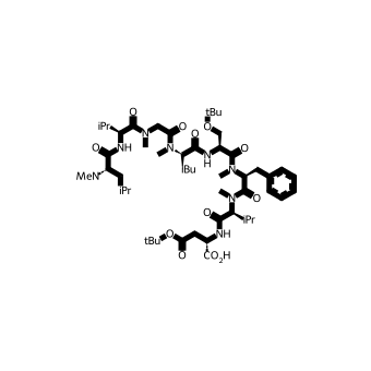 CC[C@H](C)[C@@H](C(=O)N[C@@H](COC(C)(C)C)C(=O)N(C)[C@@H](Cc1ccccc1)C(=O)N(C)[C@H](C(=O)N[C@@H](CC(=O)OC(C)(C)C)C(=O)O)C(C)C)N(C)C(=O)CN(C)C(=O)[C@@H](NC(=O)[C@H](CC(C)C)NC)C(C)C